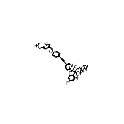 CN(C)Cc1cc(COc2ccc(C#Cc3ccc(C(F)(F)C(O)(Cn4cnnn4)c4ccc(F)cc4F)nc3)cc2)cs1